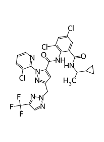 CC(NC(=O)c1cc(Cl)cc(Cl)c1NC(=O)c1cc(Cn2ncc(C(F)(F)F)n2)nn1-c1ncccc1Cl)C1CC1